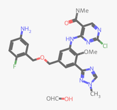 CNC(=O)c1cnc(Cl)nc1Nc1cc(COCc2cc(N)ccc2F)cc(-c2ncn(C)n2)c1OC.O=CO